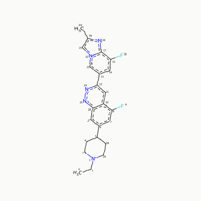 CCN1CCC(c2cc(F)c3cc(-c4cc(F)c5nc(C)cn5c4)nnc3c2)CC1